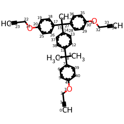 C#CCOc1ccc(C(C)(C)c2ccc(C(C)(c3ccc(OCC#C)cc3)c3ccc(OCC#C)cc3)cc2)cc1